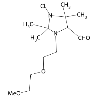 COCCOCCN1C(C=O)C(C)(C)N(Cl)C1(C)C